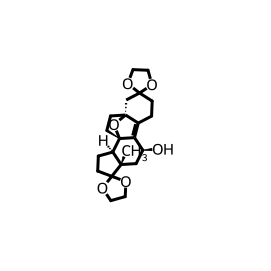 C[C@]12C[C@H](O)C3=C4CCC5(C[C@]46CC[C@]3(O6)[C@@H]1CCC21OCCO1)OCCO5